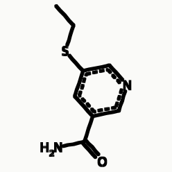 CCSc1cncc(C(N)=O)c1